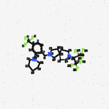 FC(F)(F)c1ccc(CN2CCC3(CCN(C(C(F)(F)F)C(F)(F)F)CC3)C2)c(N2CCCCC2)c1